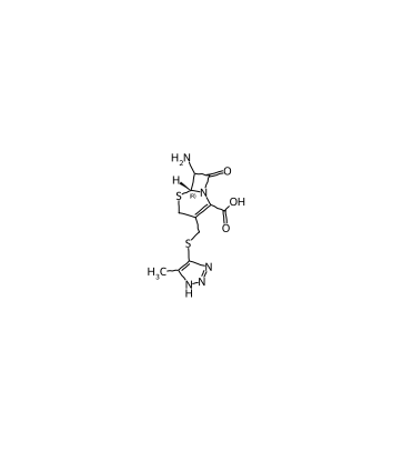 Cc1[nH]nnc1SCC1=C(C(=O)O)N2C(=O)C(N)[C@H]2SC1